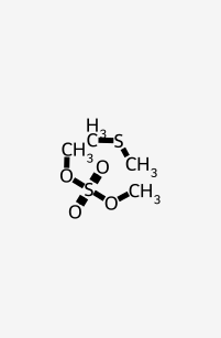 COS(=O)(=O)OC.CSC